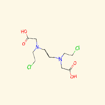 O=C(O)CN(CCCl)CCN(CCCl)CC(=O)O